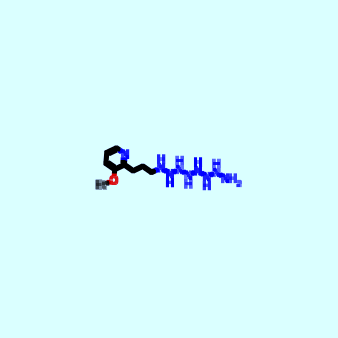 CCOc1cccnc1CCCNNNNNNNN